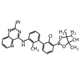 Cc1c(Nc2nc(C(C)C)nc3cccnc23)cccc1-c1cccc(B2OC(C)(C)C(C)(C)O2)c1Cl